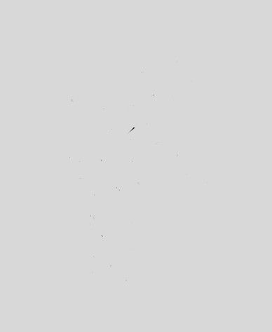 C=CCN(C(=O)OC(C)(C)C)C1=N[C@@H]2[C@@H](OC(=O)c3ccccc3)[C@H](OC(=O)c3ccccc3)[C@@H](CF)O[C@@H]2S1